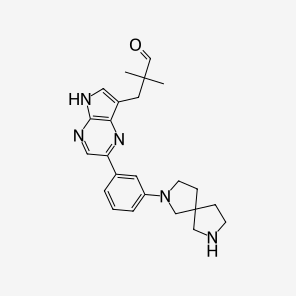 CC(C)(C=O)Cc1c[nH]c2ncc(-c3cccc(N4CCC5(CCNC5)C4)c3)nc12